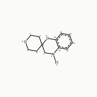 CCN1CC2(CCOCC2)Oc2ccccc21